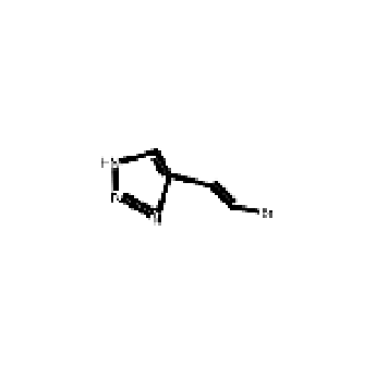 BrC=Cc1c[nH]nn1